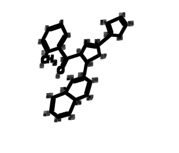 Cc1ccccc1C(=O)C1C=C(C2=CC=CC2)CC1C1=CC2C=CC=CC2C=C1